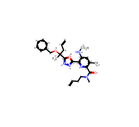 C=CCCN(C)C(=O)c1nc(-c2nnc(C(CC=C)(OCc3ccccc3)C(F)(F)F)o2)c(NC(=O)O)cc1C(F)(F)F